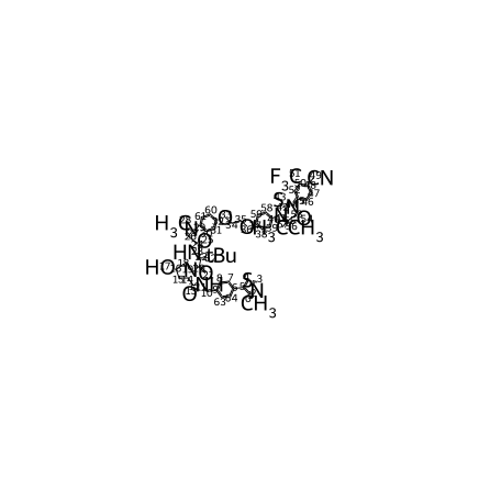 Cc1ncsc1-c1ccc(CNC(=O)C2C[C@@H](O)CN2C(=O)[C@@H](NC(=O)CN(C)c2ccc(OCCOc3ccc(N4C(=S)N(c5ccc(C#N)c(C(F)(F)F)c5)C(=O)C4(C)C)cc3)cc2)C(C)(C)C)cc1